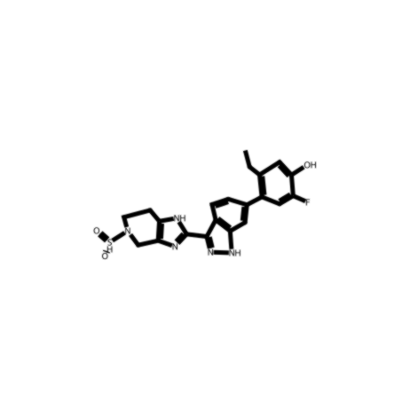 CCc1cc(O)c(F)cc1-c1ccc2c(-c3nc4c([nH]3)CCN([SH](=O)=O)C4)n[nH]c2c1